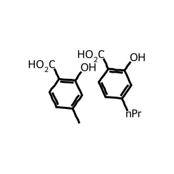 CCCc1ccc(C(=O)O)c(O)c1.Cc1ccc(C(=O)O)c(O)c1